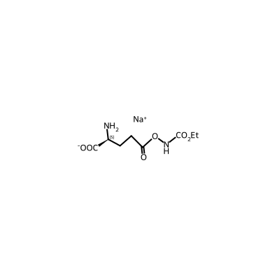 CCOC(=O)NOC(=O)CC[C@H](N)C(=O)[O-].[Na+]